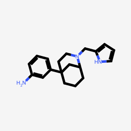 Nc1cccc(C23CCCC(C2)N(Cc2ccc[nH]2)CC3)c1